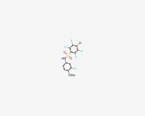 COc1ccc(NS(=O)(=O)c2c(F)c(F)c(Br)c(F)c2F)cc1F